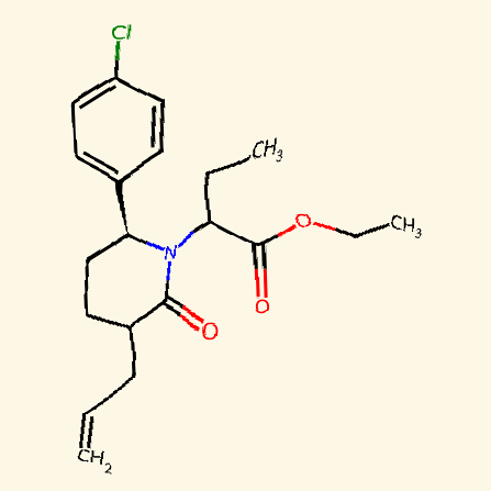 C=CCC1CC[C@@H](c2ccc(Cl)cc2)N(C(CC)C(=O)OCC)C1=O